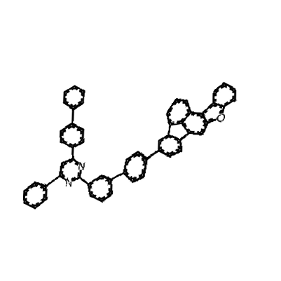 c1ccc(-c2ccc(-c3cc(-c4ccccc4)nc(-c4cccc(-c5ccc(-c6ccc7c(c6)-c6cccc8c6c-7cc6oc7ccccc7c68)cc5)c4)n3)cc2)cc1